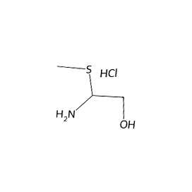 CSC(N)CO.Cl